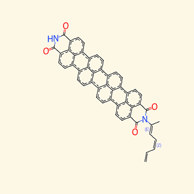 C=C/C=C\C=C(/C)N1C(=O)c2ccc3c4ccc5c6ccc7c8ccc9c%10c(ccc(c%11ccc(c%12ccc(c%13ccc(c2c3%13)C1=O)c4c5%12)c6c7%11)c%108)C(=O)NC9=O